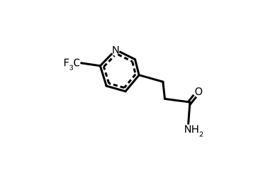 NC(=O)CCc1ccc(C(F)(F)F)nc1